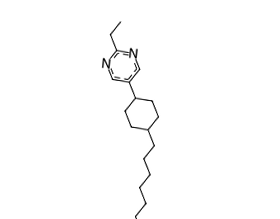 CCCCCCCC1CCC(c2cnc(CC)nc2)CC1